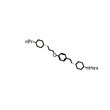 CCCCCC[C@H]1CC[C@H](CCc2ccc(OCCC[C@H]3CC[C@H](CCC)CC3)cc2)CC1